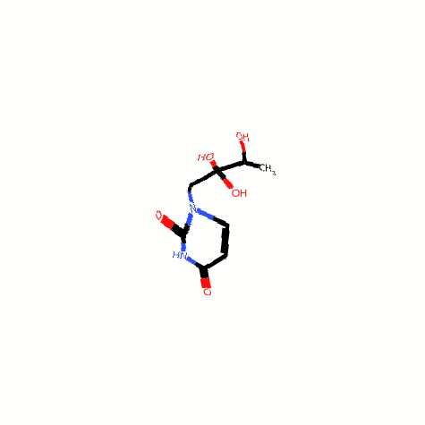 CC(O)C(O)(O)Cn1ccc(=O)[nH]c1=O